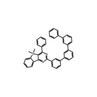 C[Si]1(C)c2ccccc2-c2nc(-c3cccc(-c4cccc(-c5cccc(-c6ccccc6)c5)c4)c3)nc(-c3ccccc3)c21